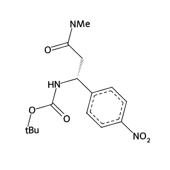 CNC(=O)C[C@@H](NC(=O)OC(C)(C)C)c1ccc([N+](=O)[O-])cc1